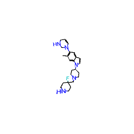 Cc1cc2c(ccn2C2CCN(CC3(F)CCNCC3)CC2)cc1N1C=CCNC1